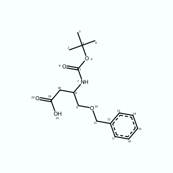 CC(C)(C)OC(=O)NC(COCc1ccccc1)CC(=O)O